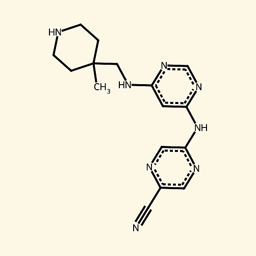 CC1(CNc2cc(Nc3cnc(C#N)cn3)ncn2)CCNCC1